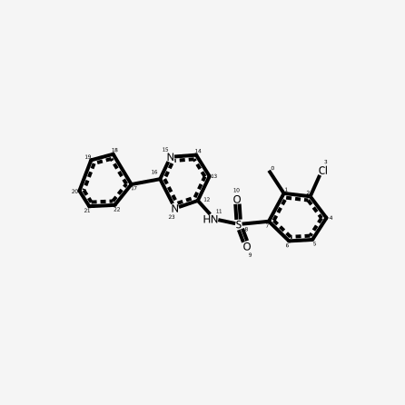 Cc1c(Cl)cccc1S(=O)(=O)Nc1ccnc(-c2ccccc2)n1